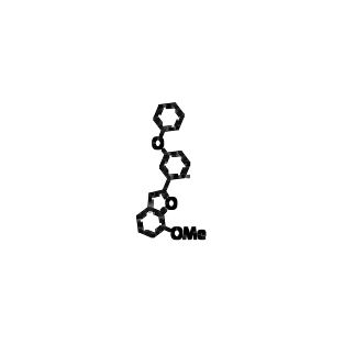 COc1cccc2cc(-c3[c]ccc(Oc4ccccc4)c3)oc12